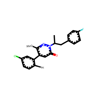 COc1nn(C(C)Cc2ccc(F)cc2)c(=O)cc1-c1cc(Cl)ccc1C(C)=O